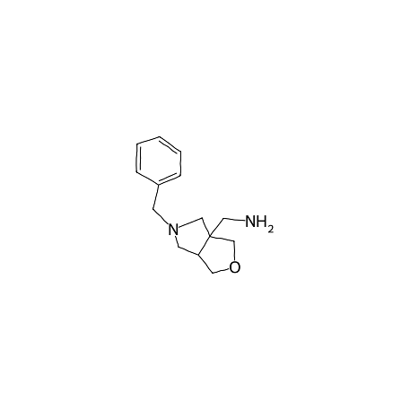 NCC12COCC1CN(Cc1ccccc1)C2